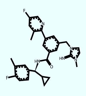 Cc1cc([C@@H](NC(=O)c2cc(Cn3ccn(C)c3=N)cc(-c3ncc(F)cc3C)c2)C2CC2)ccc1F